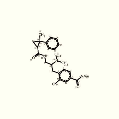 CNC(=O)c1ccc(CC(CNC(=O)[C@H]2C[C@]2(C)c2ccccc2)N(C)C)c(Cl)c1